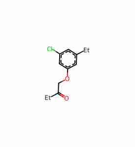 CCC(=O)COc1cc(Cl)cc(CC)c1